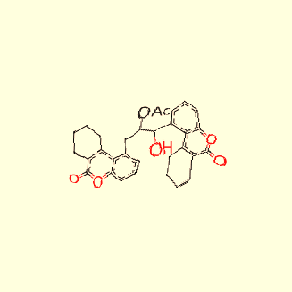 CC(=O)OC(Cc1cccc2oc(=O)c3c(c12)CCCC3)C(O)c1cccc2oc(=O)c3c(c12)CCCC3